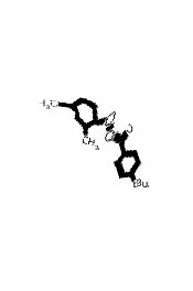 CC1CC[C](OOC(=O)c2ccc(C(C)(C)C)cc2)C(C)C1